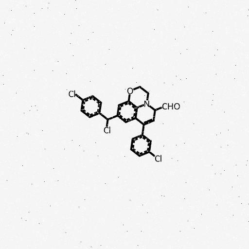 O=CC1C=C(c2cccc(Cl)c2)c2cc(C(Cl)c3ccc(Cl)cc3)cc3c2N1CCO3